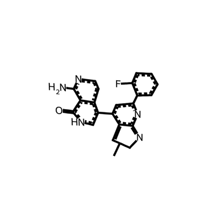 CC1C=c2c(-c3c[nH]c(=O)c4c(N)nccc34)cc(-c3ccccc3F)nc2=NC1